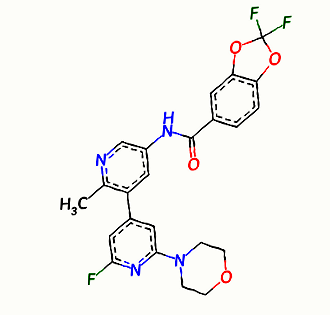 Cc1ncc(NC(=O)c2ccc3c(c2)OC(F)(F)O3)cc1-c1cc(F)nc(N2CCOCC2)c1